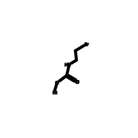 [CH2]COC(=O)NCCBr